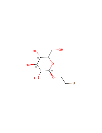 OCC1O[C@@H](OCCS)C(O)[C@@H](O)[C@@H]1O